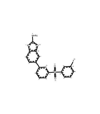 CC(=O)Nc1nc2ccc(-c3cccc(S(=O)(=O)c4cccc(F)c4)n3)cc2s1